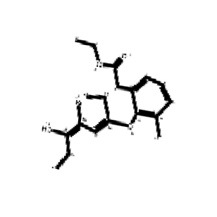 CCOC(=O)Cc1cccc(C)c1O/C(=C/C(Br)=C(/O)CC)CC